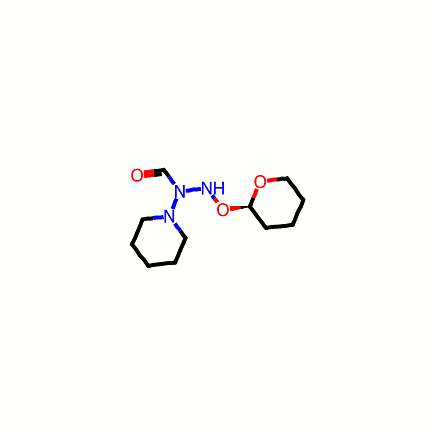 O=CN(NO[C@@H]1CCCCO1)N1CCCCC1